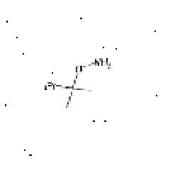 CC(C)C(C)(C)ON